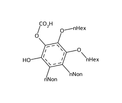 CCCCCCCCCc1c(O)c(OC(=O)O)c(OCCCCCC)c(OCCCCCC)c1CCCCCCCCC